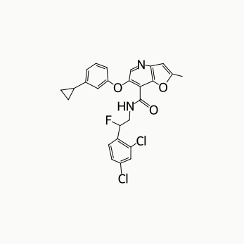 Cc1cc2ncc(Oc3cccc(C4CC4)c3)c(C(=O)NCC(F)c3ccc(Cl)cc3Cl)c2o1